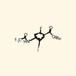 COC(=O)c1cc(I)c(NC(=O)C(F)(F)F)cc1F